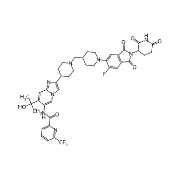 CC(C)(O)c1cc2nc(C3CCN(CC4CCN(c5cc6c(cc5F)C(=O)N(C5CCC(=O)NC5=O)C6=O)CC4)CC3)cn2cc1NC(=O)c1cccc(C(F)(F)F)n1